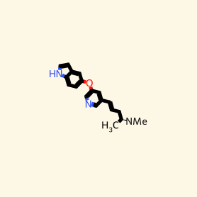 CN[C@H](C)C/C=C/c1cncc(Oc2ccc3[nH]ccc3c2)c1